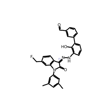 Cc1cc(C)cc(N2C(=O)/C(=N\Nc3cccc(-c4cccc(C=O)c4)c3O)c3ccc(CF)cc32)c1